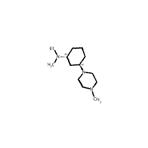 CCN(C)[C@@H]1CCC[C@@H](N2CCN(C)CC2)C1